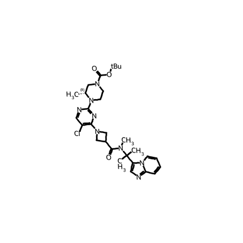 C[C@@H]1CN(C(=O)OC(C)(C)C)CCN1c1ncc(Cl)c(N2CC(C(=O)N(C)C(C)(C)c3cnc4ccccn34)C2)n1